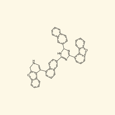 C1=C(c2cccc3cc(C4=NC(c5cccc6oc7ccccc7c56)=NC(c5ccc6ccccc6c5)N4)ccc23)c2c(oc3ccccc23)CN1